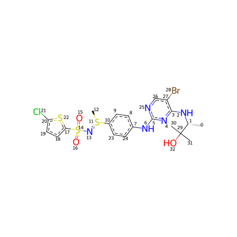 C[C@@H](Nc1nc(Nc2ccc([S@](C)=NS(=O)(=O)c3ccc(Cl)s3)cc2)ncc1Br)C(C)(C)O